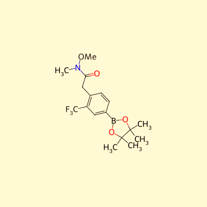 CON(C)C(=O)Cc1ccc(B2OC(C)(C)C(C)(C)O2)cc1C(F)(F)F